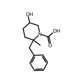 CC1(Cc2ccccc2)CCC(O)CN1C(=O)O